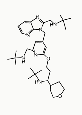 CC(C)(C)NCc1cc(Cn2c(CNC(C)(C)C)nc3cccnc32)cc(OCCC(NC(C)(C)C)C2CCOCC2)n1